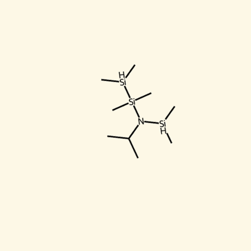 CC(C)N([SiH](C)C)[Si](C)(C)[SiH](C)C